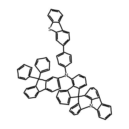 c1ccc(C2(c3ccccc3)c3ccccc3-c3ccc(N(c4ccc(-c5ccc6c(c5)sc5ccccc56)cc4)c4cccc5c4-c4ccccc4C54c5ccccc5-n5c6ccccc6c6cccc4c65)cc32)cc1